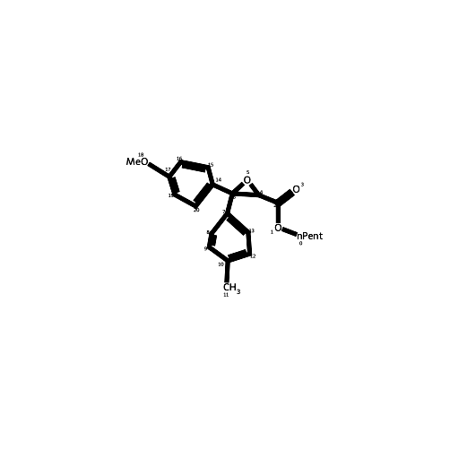 CCCCCOC(=O)C1OC1(c1ccc(C)cc1)c1ccc(OC)cc1